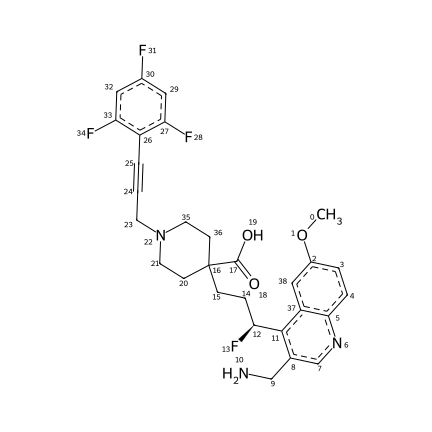 COc1ccc2ncc(CN)c([C@@H](F)CCC3(C(=O)O)CCN(CC#Cc4c(F)cc(F)cc4F)CC3)c2c1